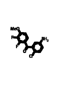 Bc1ccc(Cl)c(C(=O)c2ccc(OC)c(F)c2F)c1